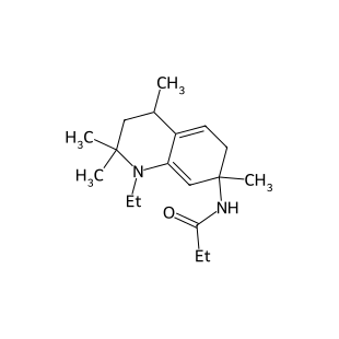 CCC(=O)NC1(C)C=C2C(=CC1)C(C)CC(C)(C)N2CC